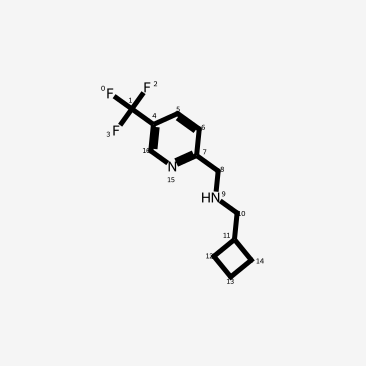 FC(F)(F)c1ccc(CNCC2CCC2)nc1